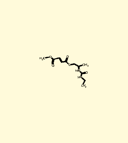 CCNC(=O)NC(C)COC(=O)/C=C/C(=O)OC